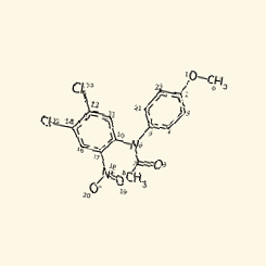 COc1ccc(N(C(C)=O)c2cc(Cl)c(Cl)cc2[N+](=O)[O-])cc1